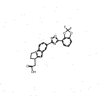 O=C(O)CC1CCn2c1cc1cc(-c3noc(-c4cccc5c4OC(F)(F)O5)n3)ccc12